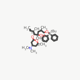 C=C[C@H](C)[C@@H](OC1C[C@@H](N(C)C)C[C@@H](C)O1)[C@](C)(O)C[C@@H](C)CO[Si](c1ccccc1)(c1ccccc1)C(C)(C)C